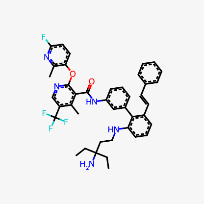 CCC(N)(CC)CCNc1cccc(C=Cc2ccccc2)c1-c1cccc(NC(=O)c2c(Oc3ccc(F)nc3C)ncc(C(F)(F)F)c2C)c1